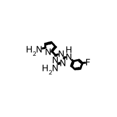 Nc1cccc(-c2nc(N)nc(Nc3cccc(F)c3)n2)n1